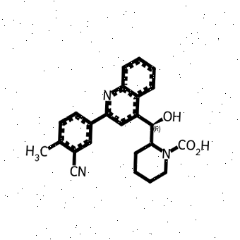 Cc1ccc(-c2cc([C@@H](O)C3CCCCN3C(=O)O)c3ccccc3n2)cc1C#N